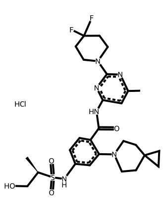 Cc1cc(NC(=O)c2ccc(NS(=O)(=O)[C@H](C)CO)cc2N2CCC3(CC2)CC3)nc(N2CCC(F)(F)CC2)n1.Cl